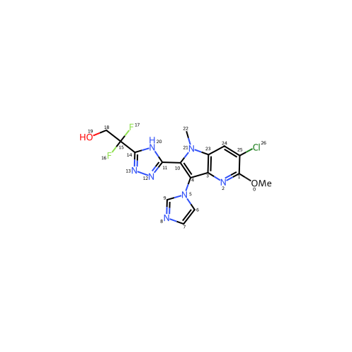 COc1nc2c(-n3ccnc3)c(-c3nnc(C(F)(F)CO)[nH]3)n(C)c2cc1Cl